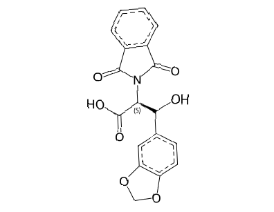 O=C(O)[C@H](C(O)c1ccc2c(c1)OCO2)N1C(=O)c2ccccc2C1=O